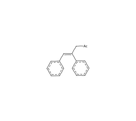 CC(=O)CC(=Cc1ccccc1)c1ccccc1